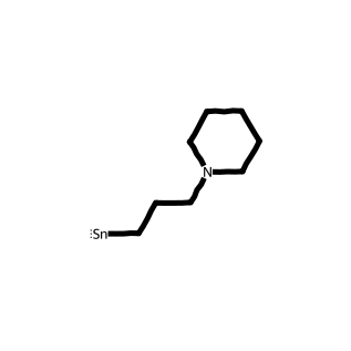 [Sn][CH2]CCN1CCCCC1